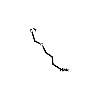 [CH]NCCCOCCCC